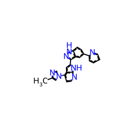 Cc1cn(-c2ccnc3[nH]c(-c4n[nH]c5ccc(-c6ccccn6)cc45)cc23)cn1